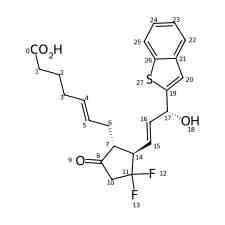 O=C(O)CCCC=CC[C@H]1C(=O)CC(F)(F)[C@@H]1C=C[C@@H](O)c1cc2ccccc2s1